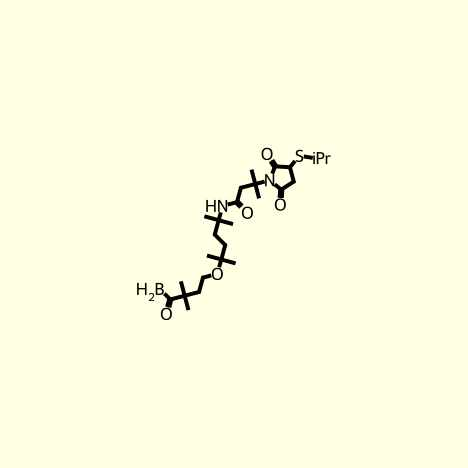 BC(=O)C(C)(C)CCOC(C)(C)CCC(C)(C)NC(=O)CC(C)(C)N1C(=O)CC(SC(C)C)C1=O